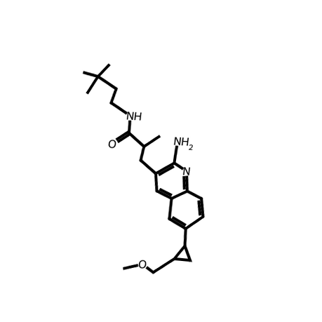 COCC1CC1c1ccc2nc(N)c(CC(C)C(=O)NCCC(C)(C)C)cc2c1